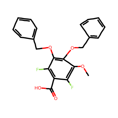 COc1c(F)c(C(=O)O)c(F)c(OCc2ccccc2)c1OCc1ccccc1